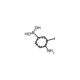 Nc1ccc(B(O)O)cc1I